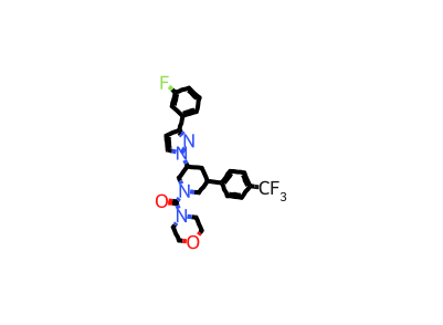 O=C(N1CCOCC1)N1CC(c2ccc(C(F)(F)F)cc2)CC(n2ccc(-c3cccc(F)c3)n2)C1